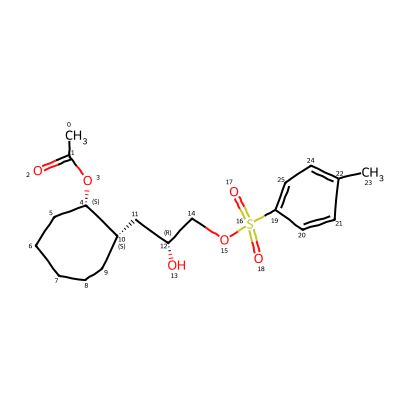 CC(=O)O[C@H]1CCCCC[C@H]1C[C@@H](O)COS(=O)(=O)c1ccc(C)cc1